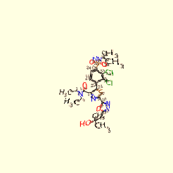 CCN(CC)C(=O)c1nc(-c2nnc(CC(C)(C)O)o2)sc1-c1ccc(S(=O)(=O)NC(C)C)c(Cl)c1Cl